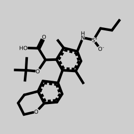 CCC[S+]([O-])Nc1cc(C)c(-c2ccc3c(c2)CCCO3)c(C(OC(C)(C)C)C(=O)O)c1C